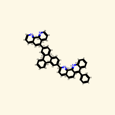 c1ccc(-c2c3ccccc3nc3c2ccc2ccc(-c4ccc5c6ccc(-c7cc8cccnc8c8ncccc78)cc6c6ccccc6c5c4)nc23)cc1